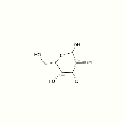 OCC1OC(O)[C@@H](O)C(O)[C@@H]1O